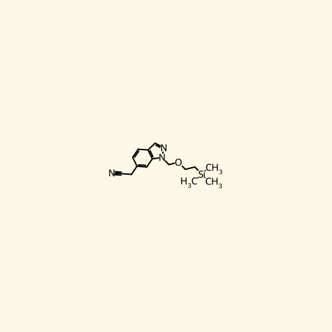 C[Si](C)(C)CCOCn1ncc2ccc(CC#N)cc21